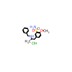 COc1ccc(CC(C)NCc2ccccc2)cc1S(N)(=O)=O.Cl